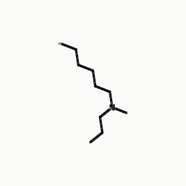 [CH2]CCCCCN(C)CCC